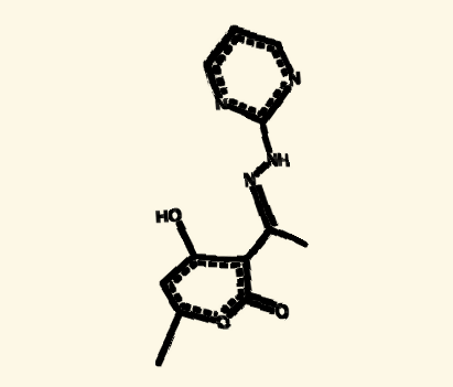 C/C(=N\Nc1ncccn1)c1c(O)cc(C)oc1=O